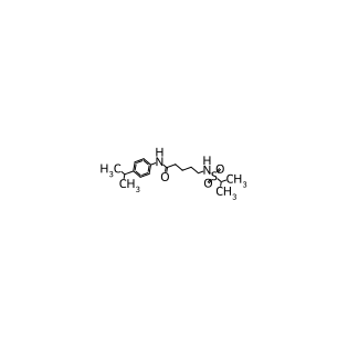 CC(C)c1ccc(NC(=O)CCCCNS(=O)(=O)C(C)C)cc1